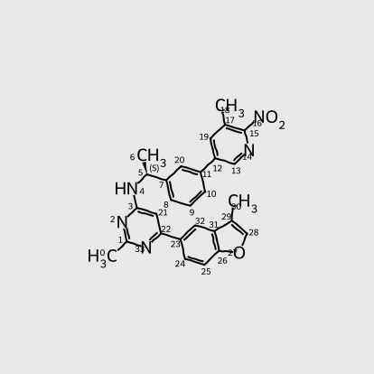 Cc1nc(N[C@@H](C)c2cccc(-c3cnc([N+](=O)[O-])c(C)c3)c2)cc(-c2ccc3occ(C)c3c2)n1